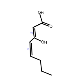 CCC/C=C\C(O)=C\C(=O)O